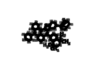 CC1(C)CCC(C)(C)c2cc(N3c4cccc5c4B(c4ccccc4N5c4ccccc4)c4sc5ccc(C6C7CC8CC(C7)CC6C8)cc5c43)ccc21